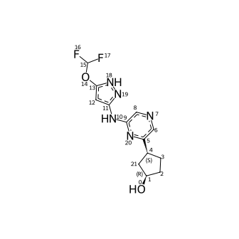 O[C@@H]1CC[C@H](c2cncc(Nc3cc(OC(F)F)[nH]n3)n2)C1